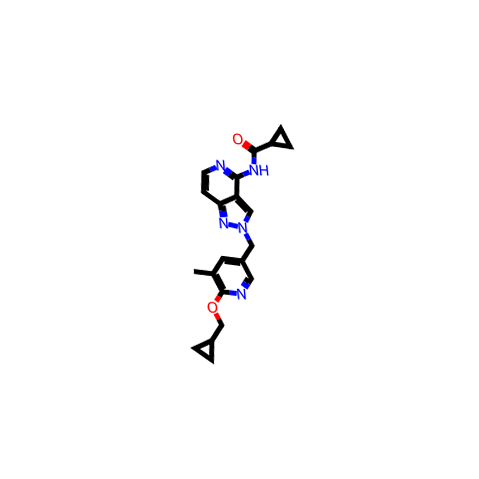 Cc1cc(Cn2cc3c(NC(=O)C4CC4)nccc3n2)cnc1OCC1CC1